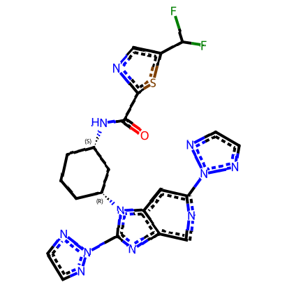 O=C(N[C@H]1CCC[C@@H](n2c(-n3nccn3)nc3cnc(-n4nccn4)cc32)C1)c1ncc(C(F)F)s1